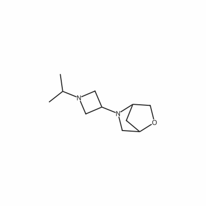 CC(C)N1CC(N2CC3CC2CO3)C1